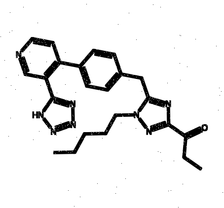 CCCCCn1nc(C(=O)CC)nc1Cc1ccc(-c2ccncc2-c2nnn[nH]2)cc1